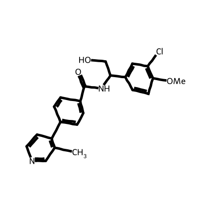 COc1ccc(C(CO)NC(=O)c2ccc(-c3ccncc3C)cc2)cc1Cl